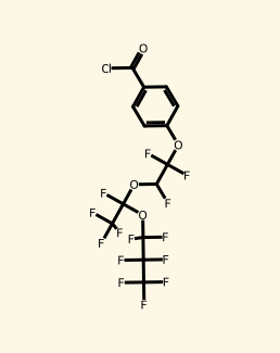 O=C(Cl)c1ccc(OC(F)(F)C(F)OC(F)(OC(F)(F)C(F)(F)C(F)(F)F)C(F)(F)F)cc1